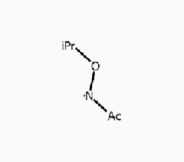 CC(=O)[N]OC(C)C